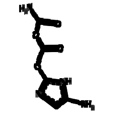 NC(=O)OC(=O)Oc1ncc(N)[nH]1